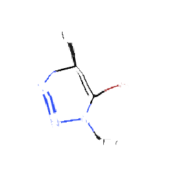 CCc1nnn(CC)c1Br